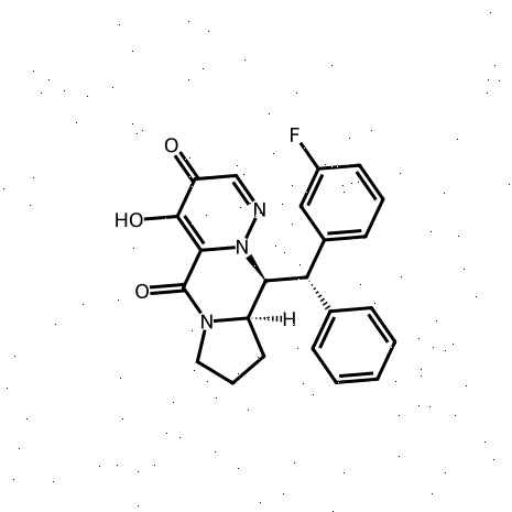 O=C1c2c(O)c(=O)cnn2[C@@H]([C@@H](c2ccccc2)c2cccc(F)c2)[C@H]2CCCN12